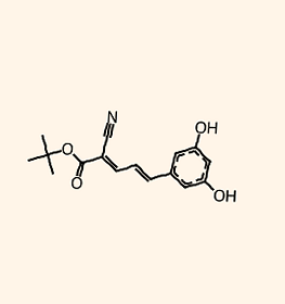 CC(C)(C)OC(=O)/C(C#N)=C/C=C/c1cc(O)cc(O)c1